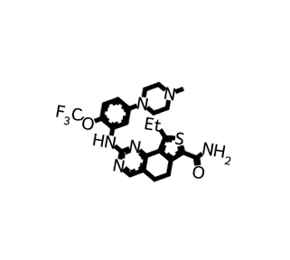 CCc1sc(C(N)=O)c2c1-c1nc(Nc3cc(N4CCN(C)CC4)ccc3OC(F)(F)F)ncc1CC2